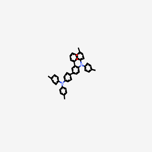 Cc1ccc(N(c2ccc(C)cc2)c2ccc(-c3ccc(N(c4ccc(C)cc4)c4ccc(C)cc4)c(-c4ccccc4)c3)cc2)cc1